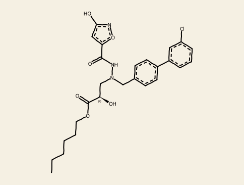 CCCCCCOC(=O)[C@H](O)CN(Cc1ccc(-c2cccc(Cl)c2)cc1)NC(=O)c1cc(O)no1